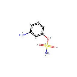 Nc1cccc(OS(N)(=O)=O)c1